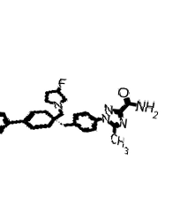 Cc1nc(C(N)=O)nn1-c1ccc(C[C@]2(CN3CCC(F)C3)C=CC(c3ccccc3)=CC2)cc1